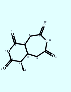 C[C@H]1C(=O)OC(=O)C2CC(=O)OC(=O)CC21